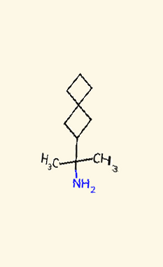 CC(C)(N)C1CC2(CCC2)C1